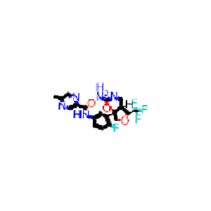 Cc1cnc(C(=O)Nc2ccc(F)c([C@]34CO[C@H](C(F)(F)F)[C@H]3CN=C(N)O4)c2)cn1